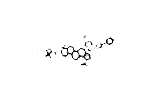 C=C(C)[C@@H]1CC[C@]2(C(=O)N3C[C@H](OC(C)C)C[C@H]3c3nc(-c4ccccc4)c[nH]3)CC[C@]3(C)[C@H](CC[C@@H]4[C@@]5(C)CC[C@H](OC(=O)[C@H]6C[C@@H](C(=O)O)C6(C)C)C(C)(C)[C@@H]5CC[C@]43C)[C@@H]12